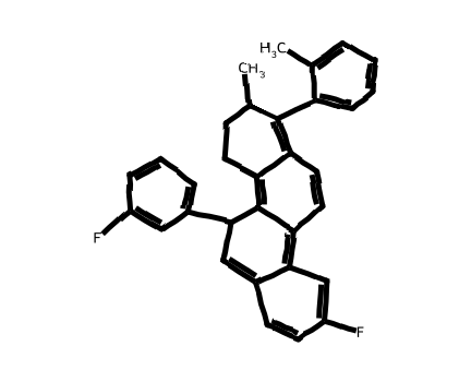 Cc1ccccc1C1=c2ccc3c(c2CCC1C)C(c1cccc(F)c1)C=c1ccc(F)cc1=3